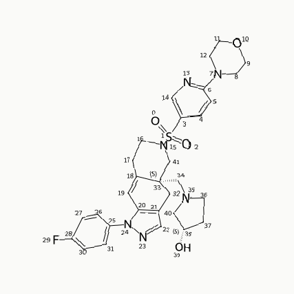 O=S(=O)(c1ccc(N2CCOCC2)nc1)N1CCC2=Cc3c(cnn3-c3ccc(F)cc3)C[C@]2(CN2CC[C@H](O)C2)C1